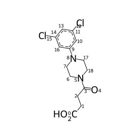 O=C(O)CCC(=O)N1CCN(c2cc(Cl)cc(Cl)c2)CC1